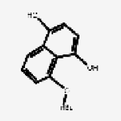 CCCCOc1cccc2c(O)ccc(O)c12